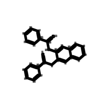 O=C(Cc1cc2ccccc2cc1OC(=O)c1ccccc1)c1ccccc1